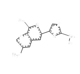 COc1ccc2c(C(C)(C)C)nc(-c3csc(NC(C)C)n3)cc2c1